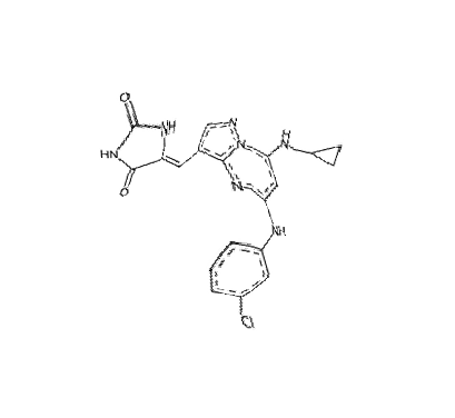 O=C1NC(=O)C(=Cc2cnn3c(NC4CC4)cc(Nc4cccc(Cl)c4)nc23)N1